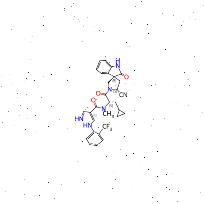 CN(C(=O)/C(C=N)=C/Nc1ccccc1C(F)(F)F)[C@@H](CC1CC1)C(=O)N1C[C@]2(C[C@H]1C#N)C(=O)Nc1ccccc12